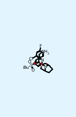 CC[C@@H](C)S(=O)(=O)c1cc(CN)nc(N2C3CCC2CN(C(=O)c2ccc(F)cc2Cl)C3)c1